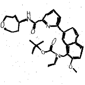 CCN(C(=O)OC(C)(C)C)c1c(OC)ccc2ccc(-c3cccc(C(=O)NC4CCOCC4)n3)cc12